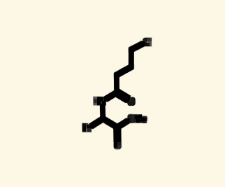 CCC(NC(=O)CCCCl)C(=O)OC